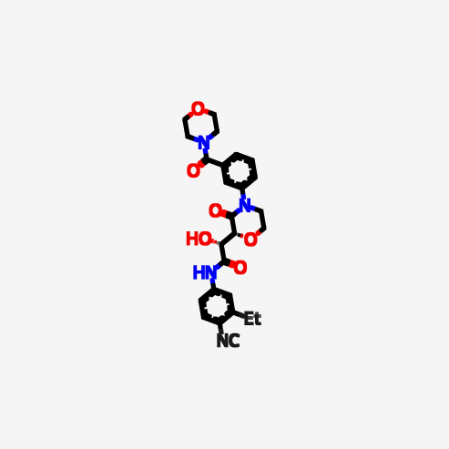 [C-]#[N+]c1ccc(NC(=O)[C@H](O)[C@H]2OCCN(c3cccc(C(=O)N4CCOCC4)c3)C2=O)cc1CC